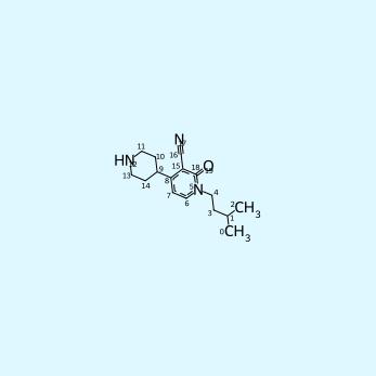 CC(C)CCn1ccc(C2CCNCC2)c(C#N)c1=O